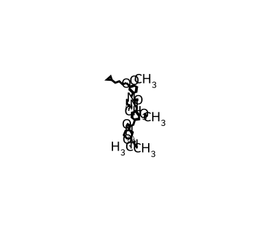 COc1cc(CC(=O)N2CCO[C@@H](CN(C)C)C2)ccc1CN1C(=O)N(c2ccc(OC)c(OCCCC3CC3)c2)CC[C@@H]1C